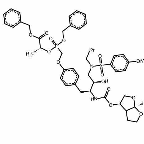 COc1ccc(S(=O)(=O)N(CC(C)C)C[C@@H](O)[C@H](Cc2ccc(OCP(=O)(OCc3ccccc3)O[C@H](C)C(=O)OCc3ccccc3)cc2)NC(=O)O[C@H]2CO[C@H]3OCCC32)cc1